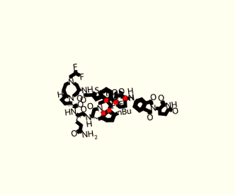 CCCCc1ccc(C[C@H](NC(=O)[C@H](CCC(N)=O)NC(=O)[C@@H]2CC[C@@H]3CCN(CC(F)F)C[C@H](NC(=O)c4cc5cc(C(F)(F)P(=O)(O)O)ccc5s4)C(=O)N32)C(=O)N2CCC(N3CCC(Nc4ccc5c(c4)C(=O)N(C4CCC(=O)NC4=O)C5=O)CC3)CC2)cc1